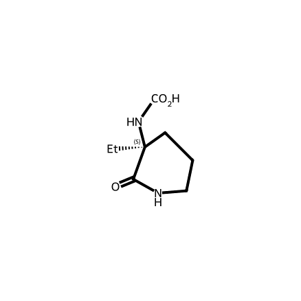 CC[C@]1(NC(=O)O)CCCNC1=O